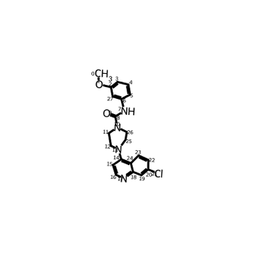 COc1cccc(NC(=O)N2CCN(c3ccnc4cc(Cl)ccc34)CC2)c1